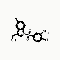 Cc1ccc2c(c1)c(CO)cn2S(=O)(=O)c1ccc(Cl)c(N)c1